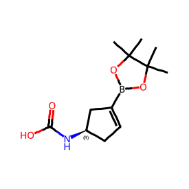 CC1(C)OB(C2=CC[C@@H](NC(=O)O)C2)OC1(C)C